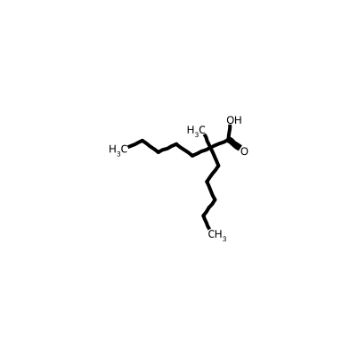 CCCCCC(C)(CCCCC)C(=O)O